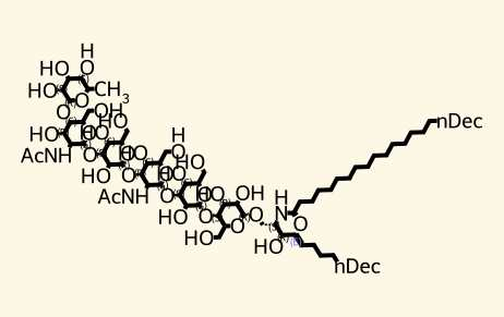 CCCCCCCCCCCCC/C=C/[C@@H](O)[C@H](CO[C@@H]1OC(CO)[C@@H](O[C@@H]2OC(CO)[C@H](O)[C@H](O[C@@H]3OC(CO)[C@@H](O)[C@H](O[C@@H]4OC(CO)[C@H](O)[C@H](O[C@@H]5OC(CO)[C@@H](O[C@H]6OC(C)[C@@H](O)C(O)[C@@H]6O)[C@H](O)C5NC(C)=O)C4O)C3NC(C)=O)C2O)[C@H](O)C1O)NC(=O)CCCCCCCCCCCCCCCCCCCCCCCCC